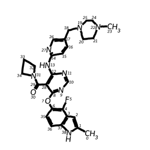 Cc1cc2c(F)c(Oc3ncnc(Nc4ccc(CN5CCN(C)CC5)cn4)c3C(=O)N3CCC3)ccc2[nH]1